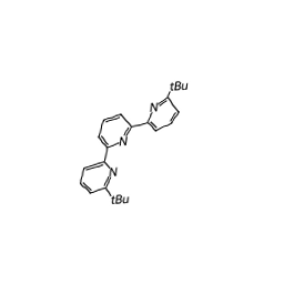 CC(C)(C)c1cccc(-c2cccc(-c3cccc(C(C)(C)C)n3)n2)n1